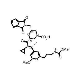 COC(=O)NCCCc1cc([C@@H](C)N(C(=O)[C@H]2CN(C(=O)O)C[C@@H](CN3C(=O)c4ccccc4C3=O)O2)C2CC2)cc(OC)n1